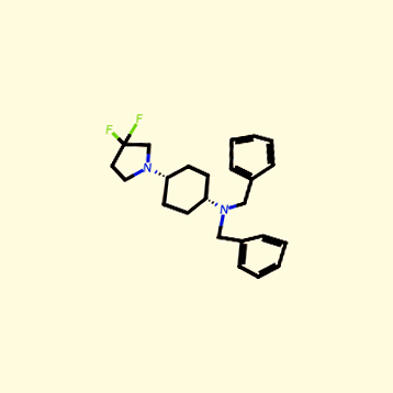 FC1(F)CCN([C@H]2CC[C@@H](N(Cc3ccccc3)Cc3ccccc3)CC2)C1